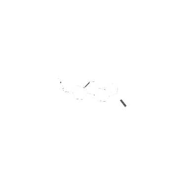 C#C[C@H]1CCC2C3CC=C4C[C@H](N=[N+]=[N-])CC[C@]4(C)C3CC[C@@]21C